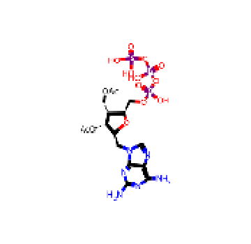 CC(=O)OC[C@H]1[C@@H](OC(C)=O)[C@H](Cn2cnc3c(N)nc(N)nc32)O[C@@H]1COP(=O)(O)OP(=O)(O)OP(=O)(O)O